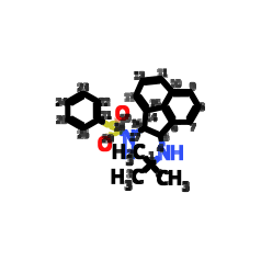 CC(C)(C)NC1c2cccc3cccc(c23)C1NS(=O)(=O)c1ccccc1